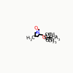 C=C1CC(CO[Si](C)(C)C(C)(C)C)N(C=O)C1